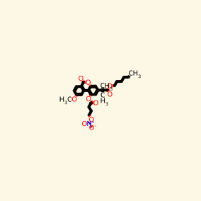 CCCCCCOC(=O)C(C)(C)c1cc(OC(=O)CCCO[N+](=O)[O-])c2c(c1)oc(=O)c1ccc(OC)cc12